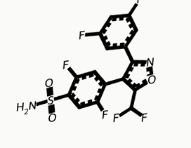 NS(=O)(=O)c1cc(F)c(-c2c(-c3cc(F)cc(F)c3)noc2C(F)F)cc1F